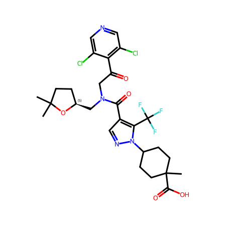 CC1(C)CC[C@@H](CN(CC(=O)c2c(Cl)cncc2Cl)C(=O)c2cnn(C3CCC(C)(C(=O)O)CC3)c2C(F)(F)F)O1